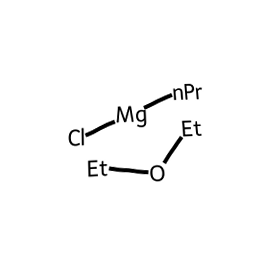 CCOCC.CC[CH2][Mg][Cl]